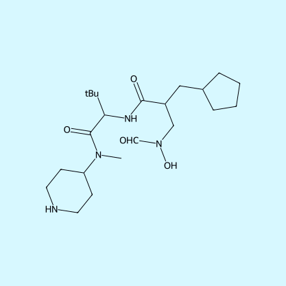 CN(C(=O)C(NC(=O)C(CC1CCCC1)CN(O)C=O)C(C)(C)C)C1CCNCC1